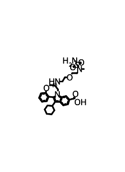 CN(CCOCCN[C@H]1COc2ccccc2-c2c(C3CCCCC3)c3ccc(C(=O)O)cc3n2C1)S(N)(=O)=O